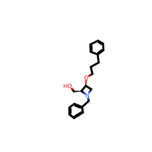 OC[C@H]1[C@@H](OCCCc2ccccc2)CN1Cc1ccccc1